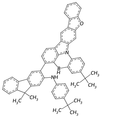 CC(C)(C)c1ccc(Nc2cc3c(cc2-c2ccc4c5cc6c(cc5n5c4c2Bc2cc(C(C)(C)C)ccc2-5)oc2ccccc26)-c2ccccc2C3(C)C)cc1